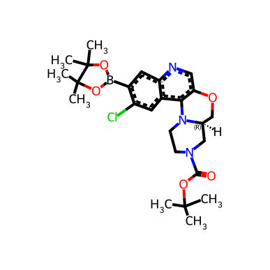 CC(C)(C)OC(=O)N1CCN2c3c(cnc4cc(B5OC(C)(C)C(C)(C)O5)c(Cl)cc34)OC[C@H]2C1